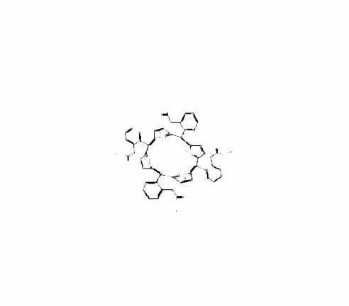 CC(C)OC(=O)Cc1ccccc1C1=C2C=CC(=N2)C(c2ccccc2CC(=O)OC(C)C)=C2C=CC(=N2)C(c2ccccc2CC(=O)OC(C)C)=C2C=CC(=N2)C(c2ccccc2CC(=O)OC(C)C)=C2C=CC1=N2